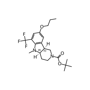 CCCOc1cc2c(c(C(F)(F)F)c1)N(C)[C@@H]1CCN(C(=O)OC(C)(C)C)C[C@H]21